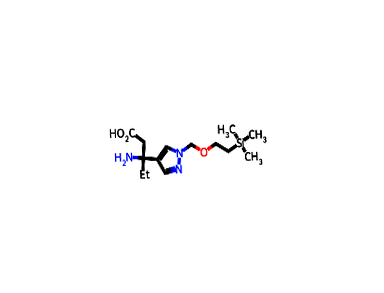 CCC(N)(CC(=O)O)c1cnn(COCC[Si](C)(C)C)c1